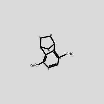 O=Cc1ccc(C=O)c2c1C1CCC2C1